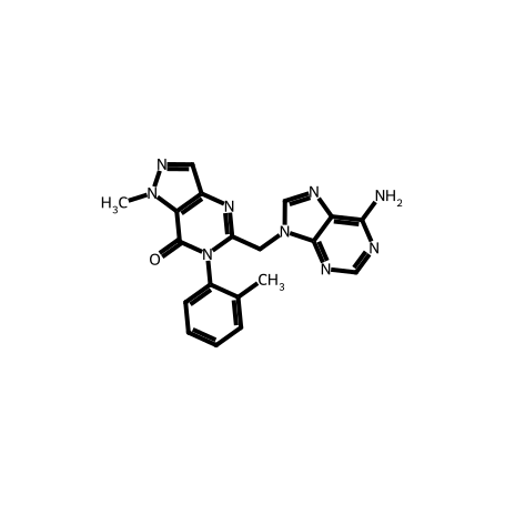 Cc1ccccc1-n1c(Cn2cnc3c(N)ncnc32)nc2cnn(C)c2c1=O